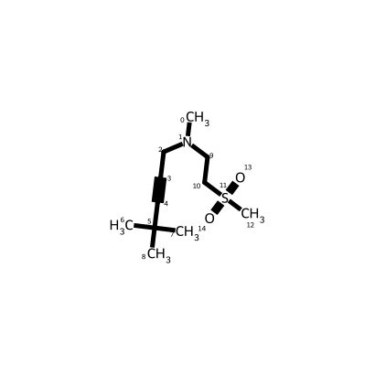 CN(CC#CC(C)(C)C)CCS(C)(=O)=O